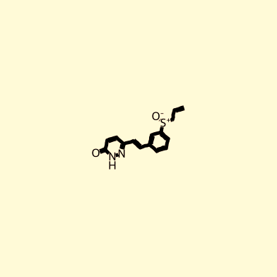 C=CC[S+]([O-])c1cccc(C=Cc2ccc(=O)[nH]n2)c1